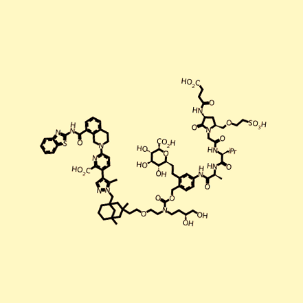 Cc1c(-c2ccc(N3CCc4cccc(C(=O)Nc5nc6ccccc6s5)c4C3)nc2C(=O)O)cnn1CC12CCCC(C)(CC(C)(CCOCCN(CC[C@H](O)CO)C(=O)OCc3ccc(NC(=O)[C@H](C)NC(=O)[C@@H](NC(=O)CN4C(=O)[C@@H](NC(=O)CCC(=O)O)C[C@H]4COCCS(=O)(=O)O)C(C)C)cc3CC[C@@H]3O[C@H](C(=O)O)[C@@H](O)[C@H](O)[C@H]3O)C1)C2